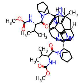 COC(=O)N[C@H](C(=O)N1C2CCC(C2)[C@H]1c1nc(C2=CC3=CC[C@@H]2C[C@@H](C)[C@@H]2C=CC(=C(c4c[nH]c([C@@H]5C6CCC(C6)N5C(=O)[C@@H](NC(=O)OC)C(C)C)n4)C2)CC3)c[nH]1)C(C)C